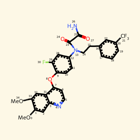 COc1cc2nccc(Oc3ccc(N(CCc4cccc(C(F)(F)F)c4)C(=O)C(N)=O)cc3F)c2cc1OC